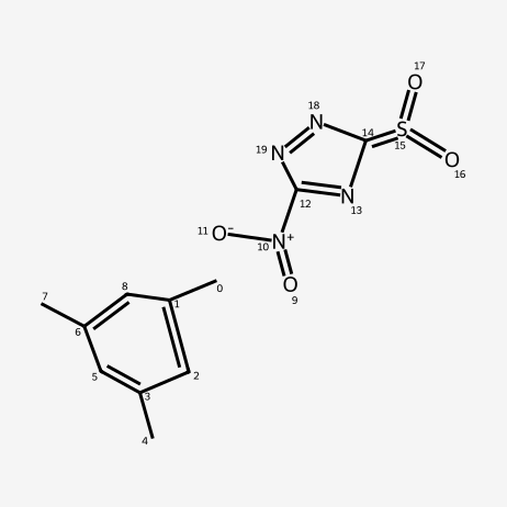 Cc1cc(C)cc(C)c1.O=[N+]([O-])C1=NC(=S(=O)=O)N=N1